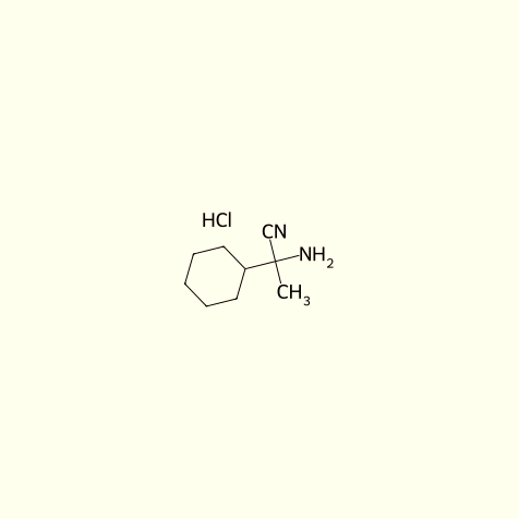 CC(N)(C#N)C1CCCCC1.Cl